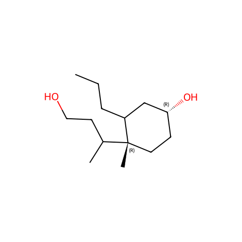 CCCC1C[C@H](O)CC[C@]1(C)C(C)CCO